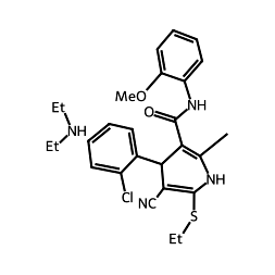 CCNCC.CCSC1=C(C#N)C(c2ccccc2Cl)C(C(=O)Nc2ccccc2OC)=C(C)N1